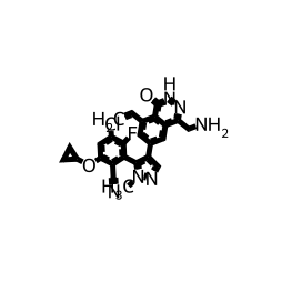 C=Cc1cc(-c2cnn(C)c2-c2c(F)c(Cl)cc(OC3CC3)c2C#N)cc2c(CN)n[nH]c(=O)c12